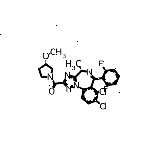 CO[C@H]1CCN(C(=O)c2nc3n(n2)-c2ccc(Cl)c(Cl)c2C(c2c(F)cccc2F)=N[C@H]3C)C1